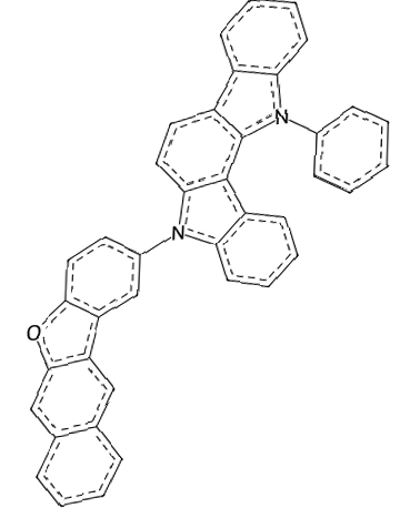 c1ccc(-n2c3ccccc3c3ccc4c(c5ccccc5n4-c4ccc5oc6cc7ccccc7cc6c5c4)c32)cc1